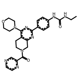 CCNC(=O)Nc1ccc(-c2nc3c(c(N4CCOCC4)n2)CCN(C(=O)c2cnccn2)C3)cc1